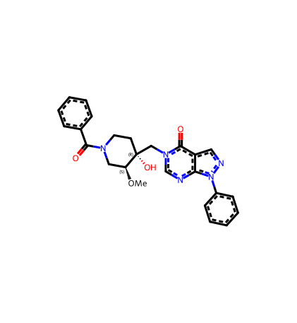 CO[C@H]1CN(C(=O)c2ccccc2)CC[C@@]1(O)Cn1cnc2c(cnn2-c2ccccc2)c1=O